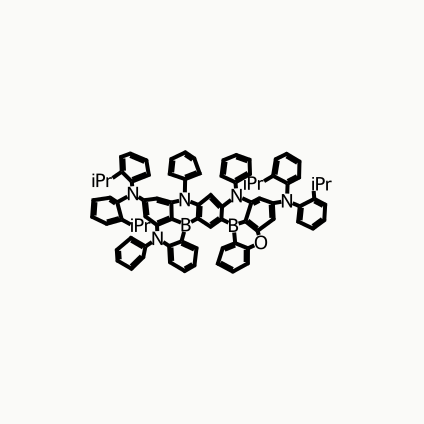 CC(C)c1ccccc1N(c1cc2c3c(c1)N(c1ccccc1)c1cc4c(cc1B3c1ccccc1O2)B1c2ccccc2N(c2ccccc2)c2cc(N(c3ccccc3C(C)C)c3ccccc3C(C)C)cc(c21)N4c1ccccc1)c1ccccc1C(C)C